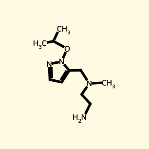 CC(C)On1nccc1CN(C)CCN